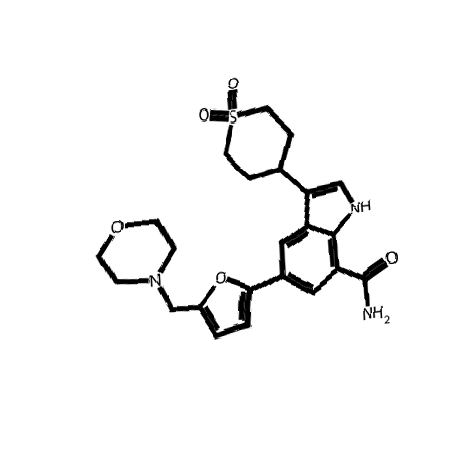 NC(=O)c1cc(-c2ccc(CN3CCOCC3)o2)cc2c(C3CCS(=O)(=O)CC3)c[nH]c12